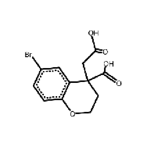 O=C(O)CC1(C(=O)O)CCOc2ccc(Br)cc21